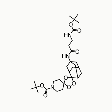 CC(C)(C)OC(=O)NCCC(=O)NC12CC3CC(C1)C1(OOC4(CCN(C(=O)OC(C)(C)C)CC4)O1)C(C3)C2